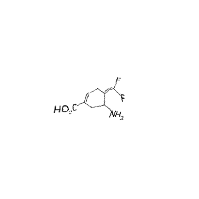 NC1CC(C(=O)O)=CCC1=C(F)F